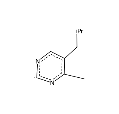 Cc1n[c]ncc1CC(C)C